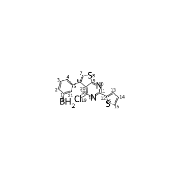 Bc1cccc(-c2csc3nc(-c4cccs4)nc(Cl)c23)c1